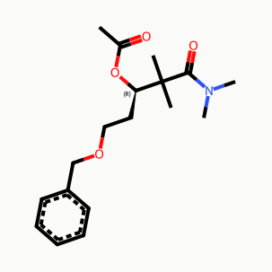 CC(=O)O[C@H](CCOCc1ccccc1)C(C)(C)C(=O)N(C)C